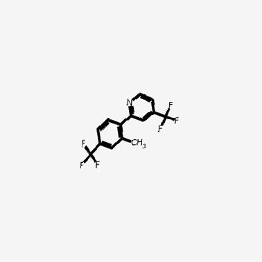 Cc1cc(C(F)(F)F)ccc1-c1cc(C(F)(F)F)ccn1